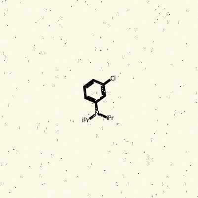 CC(C)N(c1cccc(Cl)c1)C(C)C